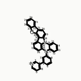 c1cncc(-c2cccc(N3c4ccccc4-n4c5ccc6c7ccccc7oc6c5c5cccc3c54)c2)c1